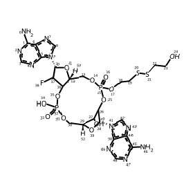 Nc1ncnc2c1ncn2[C@@H]1O[C@@H]2COP(=O)(OCCSSCCO)OC3C(O)[C@@H](COP(=O)(O)OC2C1F)O[C@H]3n1cnc2c(N)ncnc21